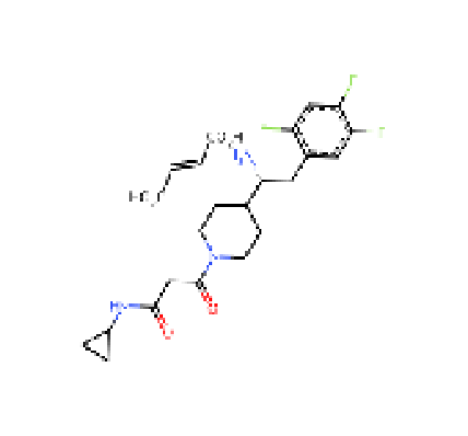 N[C@H](Cc1cc(F)c(F)cc1F)C1CCN(C(=O)CC(=O)NC2CC2)CC1.O=C(O)C=CC(=O)O